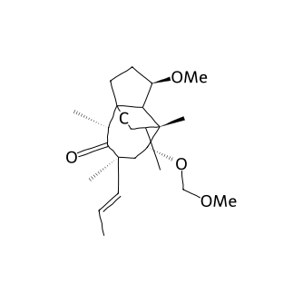 CC=C[C@]1(C)C[C@@H](OCOC)[C@]2(C)C(C)CCC3(CC[C@@H](OC)C32)[C@@H](C)C1=O